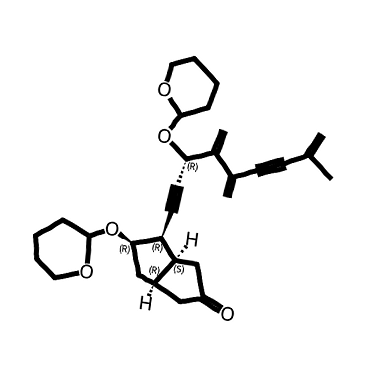 C=C(C)C#CC(=C)C(=C)[C@H](C#C[C@H]1[C@H]2CC(=O)C[C@H]2C[C@H]1OC1CCCCO1)OC1CCCCO1